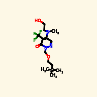 CN(CCO)c1cnn(COCC[Si](C)(C)C)c(=O)c1C(F)(F)F